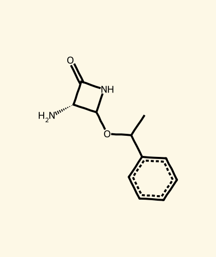 CC(OC1NC(=O)[C@H]1N)c1ccccc1